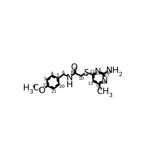 COc1ccc(CNC(=O)CSc2cc(C)nc(N)n2)cc1